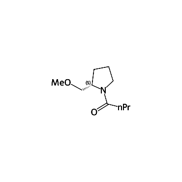 CCCC(=O)N1CCC[C@H]1COC